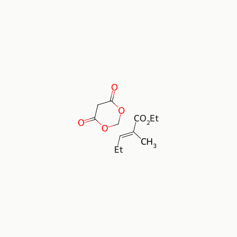 CCC=C(C)C(=O)OCC.O=C1CC(=O)OCO1